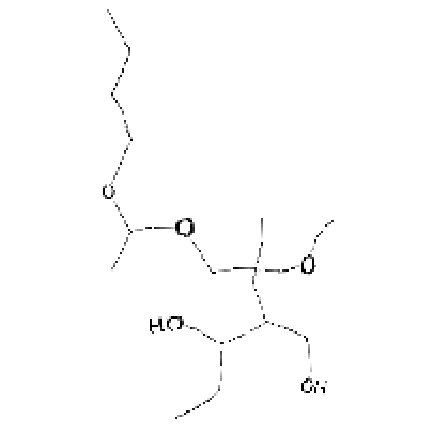 CCCCOC(C)OCC(C)(OC)C(CO)C(O)CC